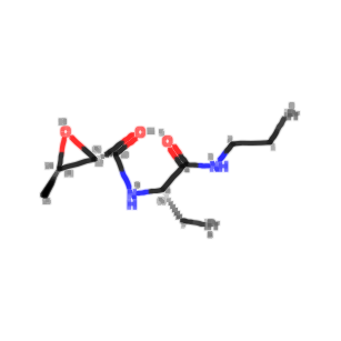 CC(C)CCNC(=O)[C@H](CC(C)C)NC(=O)[C@H]1O[C@@H]1C